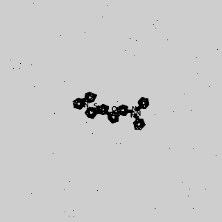 c1ccc(-c2nc(-c3ccccc3)nc(-c3ccc4oc5c(-c6ccc7sc8c(-n9c%10ccccc%10c%10ccccc%109)cccc8c7c6)cccc5c4c3)n2)cc1